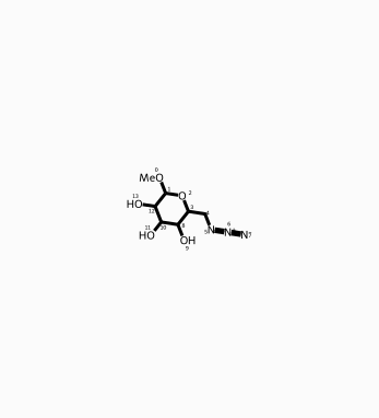 COC1OC(CN=[N+]=[N-])C(O)C(O)C1O